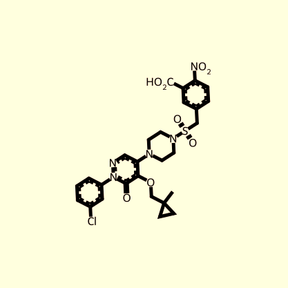 CC1(COc2c(N3CCN(S(=O)(=O)Cc4ccc([N+](=O)[O-])c(C(=O)O)c4)CC3)cnn(-c3cccc(Cl)c3)c2=O)CC1